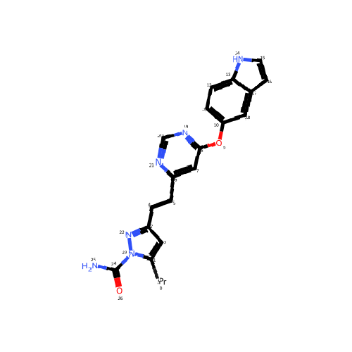 CC(C)c1cc([CH]Cc2cc(Oc3ccc4[nH]ccc4c3)ncn2)nn1C(N)=O